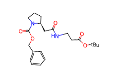 CC(C)(C)OC(=O)CCNC(=O)C[C@@H]1CCCN1C(=O)OCc1ccccc1